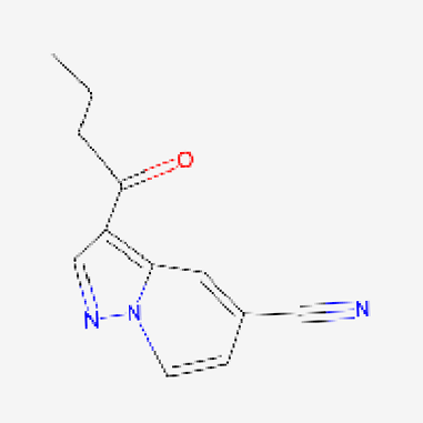 CCCC(=O)c1cnn2ccc(C#N)cc12